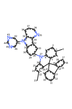 Cc1ccc2c(c1)C1(c3ccccc3-c3ccccc31)c1cc(C)ccc1N2c1ccc2c(c1)c1ncccc1n2-c1cncnc1